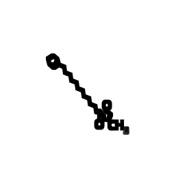 CC1=CC(=O)N(CCCCCCCCCCCCC2CC3C=CC2C3)C1=O